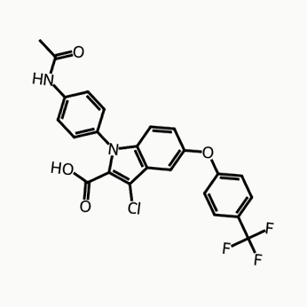 CC(=O)Nc1ccc(-n2c(C(=O)O)c(Cl)c3cc(Oc4ccc(C(F)(F)F)cc4)ccc32)cc1